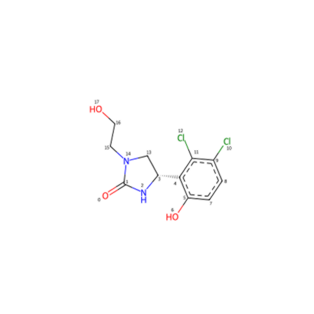 O=C1N[C@@H](c2c(O)ccc(Cl)c2Cl)CN1CCO